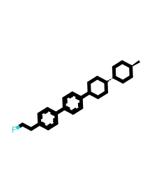 C[C@H]1CC[C@H](C2CCC(c3ccc(-c4ccc(CCF)cc4)cc3)CC2)CC1